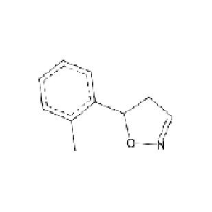 Cc1ccccc1C1CC=NO1